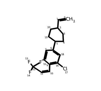 C=CC1CCC(c2ccc(/C=C\C(F)(F)F)c(Cl)c2)CC1